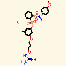 COc1ccc(N(C)S(=O)(=O)c2ccccc2S(=O)(=O)Oc2cc(C)cc(OCCCONC(=N)N)c2)cc1.Cl